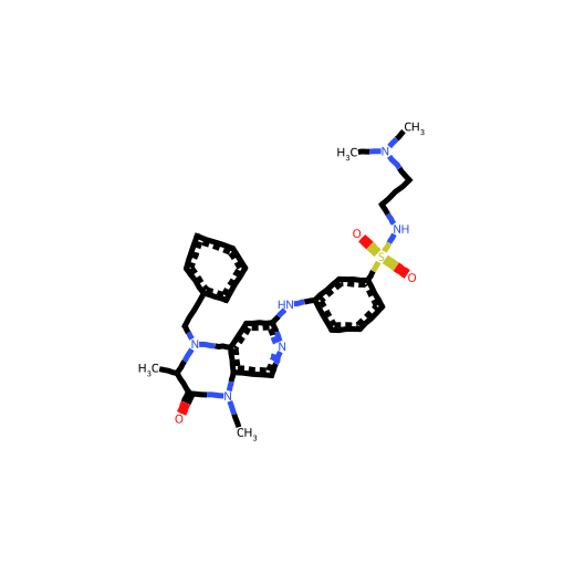 CC1C(=O)N(C)c2cnc(Nc3cccc(S(=O)(=O)NCCN(C)C)c3)cc2N1Cc1ccccc1